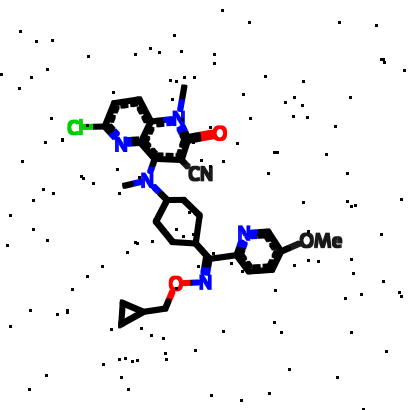 COc1ccc(/C(=N/OCC2CC2)C2CCC(N(C)c3c(C#N)c(=O)n(C)c4ccc(Cl)nc34)CC2)nc1